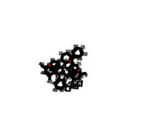 Cc1cc(C)c(-n2c(=P(C3CCCCC3)(C3CCCCC3)C3CCCCC3=Cc3ccccc3)n(-c3c(C)cc(C)cc3C)c3ccccc32)c(C)c1.[Cl][Ru][Cl]